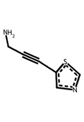 NCC#Cc1cncs1